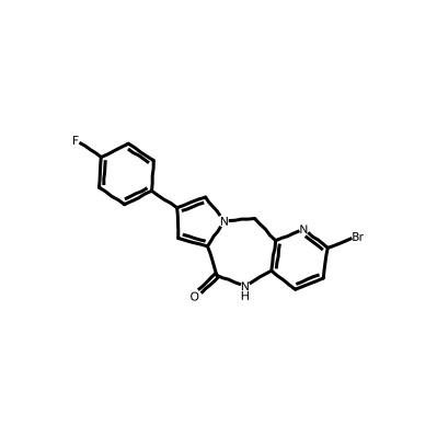 O=C1Nc2ccc(Br)nc2Cn2cc(-c3ccc(F)cc3)cc21